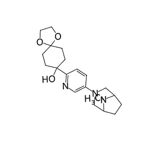 CN1C2CCC1CN(c1ccc(C3(O)CCC4(CC3)OCCO4)nc1)C2